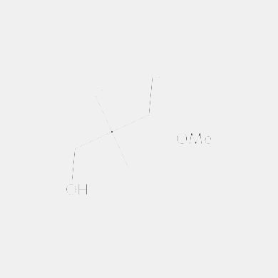 CO[C@@H](C)C(C)(C)CO